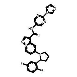 O=C(Nc1cnc(-n2ccnc2)nc1)c1cnn2ccc(N3CCCC3c3cc(F)ccc3F)cc12